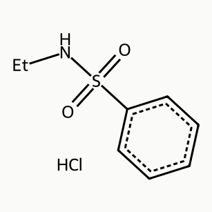 CCNS(=O)(=O)c1ccccc1.Cl